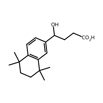 CC1(C)CCC(C)(C)c2cc(C(O)CCC(=O)O)ccc21